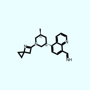 C[C@H]1C[C@H](c2ccc(C=N)c3ncccc23)CN(C2=NC3(CC3)C2)C1